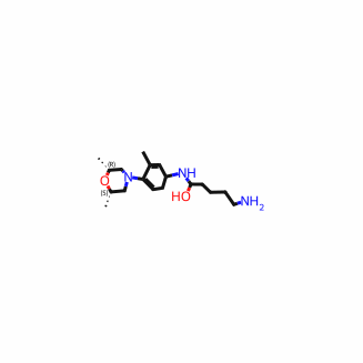 CC1=CC(NC(O)CCCCN)CC=C1N1C[C@@H](C)O[C@@H](C)C1